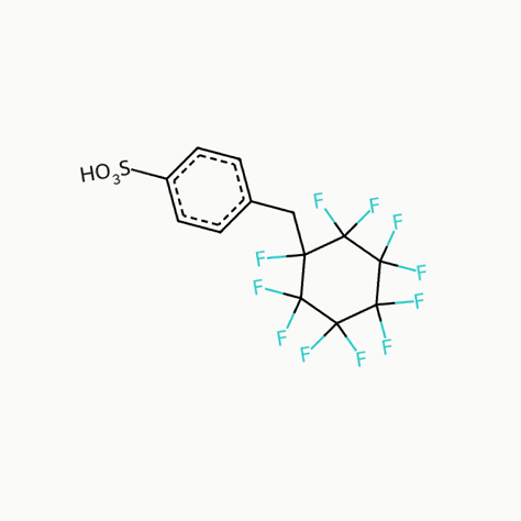 O=S(=O)(O)c1ccc(CC2(F)C(F)(F)C(F)(F)C(F)(F)C(F)(F)C2(F)F)cc1